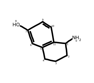 NC1CCCc2cc(O)ccc21